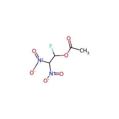 CC(=O)OC(F)C([N+](=O)[O-])[N+](=O)[O-]